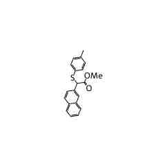 COC(=O)C(Sc1ccc(C)cc1)c1ccc2ccccc2c1